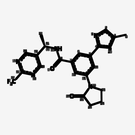 Cc1cnc(-c2cc(C(=O)N[C@H](C)c3cnc(C(F)(F)F)nc3)cc(N3CCCC3=O)c2)s1